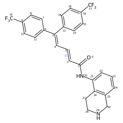 O=C(/C=C/C=C(c1ccc(C(F)(F)F)cc1)c1ccc(C(F)(F)F)cc1)Nc1cccc2c1CCNC2